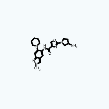 Cn1cc2cc(NC(=O)c3coc(N4CCC(N)C4)n3)c(N3CCCCC3)cc2n1